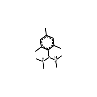 Cc1cc(C)c(P([SiH](C)C)[SiH](C)C)c(C)c1